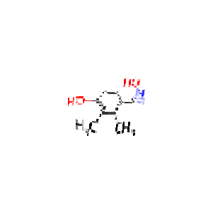 Cc1c(O)ccc(/C=N\O)c1C